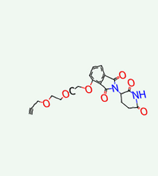 C#CCOCCOCCOc1cccc2c1C(=O)N(C1CCC(=O)NC1=O)C2=O